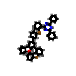 c1ccc(-c2nc(-c3ccccc3)nc(-c3cccc4c3sc3cc(-c5cc(-c6cccc7sc8ccccc8c67)c6oc7ccccc7c6c5)ccc34)n2)cc1